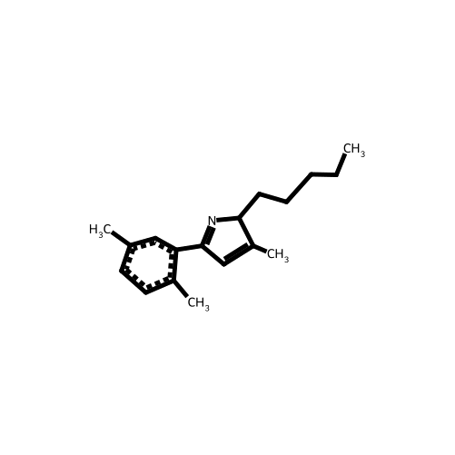 CCCCCC1N=C(c2cc(C)ccc2C)C=C1C